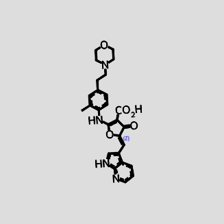 Cc1cc(CCN2CCOCC2)ccc1NC1=C(C(=O)O)C(=O)/C(=C/c2c[nH]c3ncccc23)O1